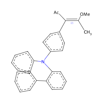 CO/C(C)=C(\C(C)=O)c1ccc(N(c2ccccc2)c2ccccc2-c2ccccc2)cc1